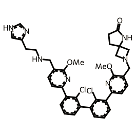 COc1nc(-c2cccc(-c3cccc(-c4ccc(CN5CC6(CCC(=O)N6)C5)c(OC)n4)c3Cl)c2Cl)ccc1CNCCc1c[nH]cn1